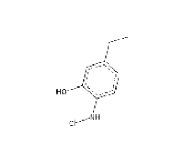 CCc1ccc(NCl)c(O)c1